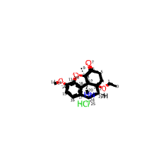 CCOC12CCC(=O)[C@]3(C)Oc4c(OC)ccc5c4[C@]13CCN[C@@H]2C5.Cl